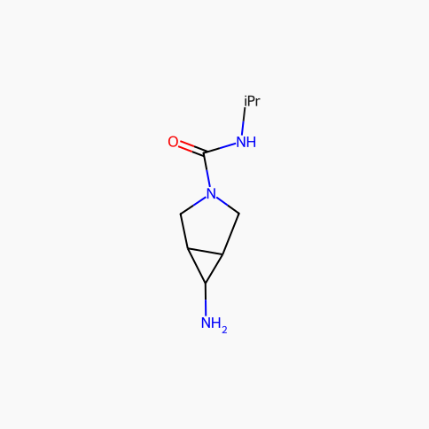 CC(C)NC(=O)N1CC2C(N)C2C1